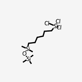 C[Si](C)(C)O[Si](C)(C)CCCCCC[Si](Cl)(Cl)Cl